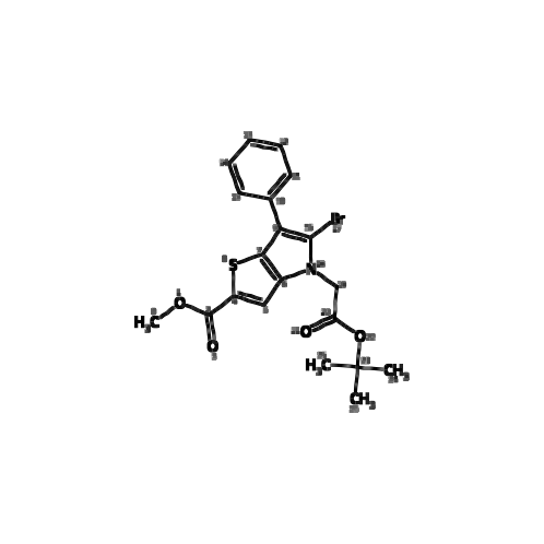 COC(=O)c1cc2c(s1)c(-c1ccccc1)c(Br)n2CC(=O)OC(C)(C)C